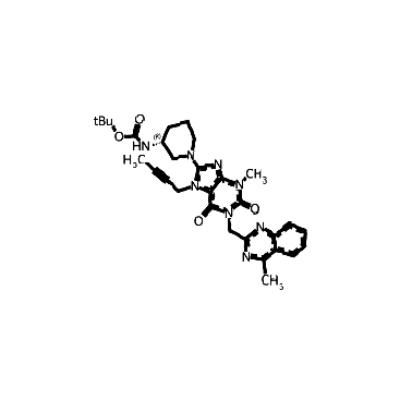 CC#CCn1c(N2CCC[C@@H](NC(=O)OC(C)(C)C)C2)nc2c1c(=O)n(Cc1nc(C)c3ccccc3n1)c(=O)n2C